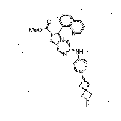 COC(=O)c1cc2cnc(Nc3ccc(N4CC5(CNC5)C4)cn3)nn2c1-c1cccc2cccnc12